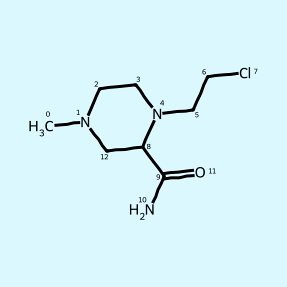 CN1CCN(CCCl)C(C(N)=O)C1